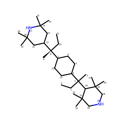 CCC(C)(C1CCC([C@@](C)(CC)C2CC(C)(C)NC(C)(C)C2)CC1)C1C(C)(C)CNCC1(C)C